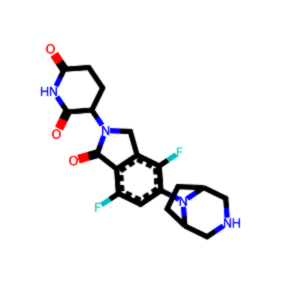 O=C1CCC(N2Cc3c(F)c(N4C5CCC4CNC5)cc(F)c3C2=O)C(=O)N1